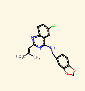 C/C(=C\c1nc(NCc2ccc3c(c2)OCO3)c2cc(Cl)ccc2n1)C(=O)O